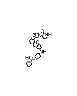 O=c1[nH]cccc1N1CCOC(c2cccc3c2Oc2ccc(NC4CCN(CC(O)c5ccccc5)CC4)cc2C3)C1